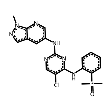 Cn1ncc2cc(Nc3ncc(Cl)c(Nc4ccccc4P(C)(C)=O)n3)cnc21